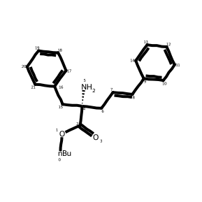 CCCCOC(=O)[C@](N)(C/C=C/c1ccccc1)Cc1ccccc1